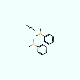 CP(C)c1ccccc1.CP(C)c1ccccc1.[CH3][Pd][CH3]